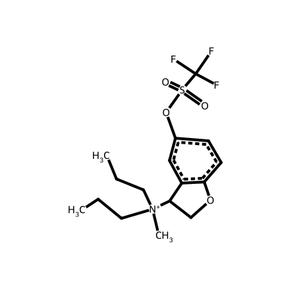 CCC[N+](C)(CCC)C1COc2ccc(OS(=O)(=O)C(F)(F)F)cc21